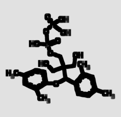 Cc1ccc(OC(c2ccc(C)cc2C)C(CO)(CO)COP(=O)(O)OP(=O)(O)O)c(C)c1